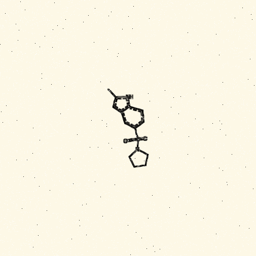 Cc1cc2cc(S(=O)(=O)N3CCCC3)ccc2[nH]1